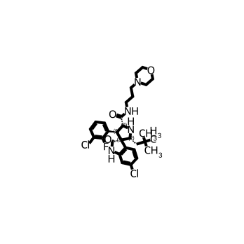 CC(C)(C)C[C@H]1N[C@@H](C(=O)NCCCN2CCOCC2)[C@H](c2cccc(Cl)c2F)[C@@]12C(=O)Nc1cc(Cl)ccc12